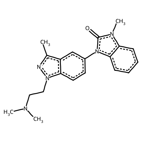 Cc1nn(CCN(C)C)c2ccc(-n3c(=O)n(C)c4ccccc43)cc12